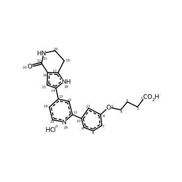 Cl.O=C(O)CCCOc1cccc(-c2cc(-c3cc4c([nH]3)CCNC4=O)ccn2)c1